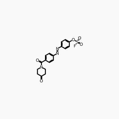 O=C1CCN(C(=O)c2ccc(/N=N/c3ccc(OS(=O)(=O)F)cc3)cc2)CC1